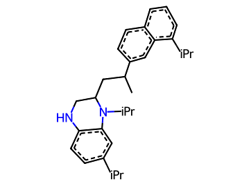 CC(C)c1ccc2c(c1)N(C(C)C)C(CC(C)c1ccc3cccc(C(C)C)c3c1)CN2